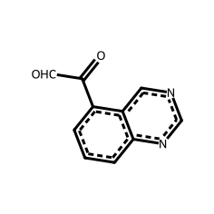 O=CC(=O)c1cccc2ncncc12